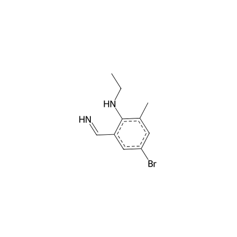 CCNc1c(C)cc(Br)cc1C=N